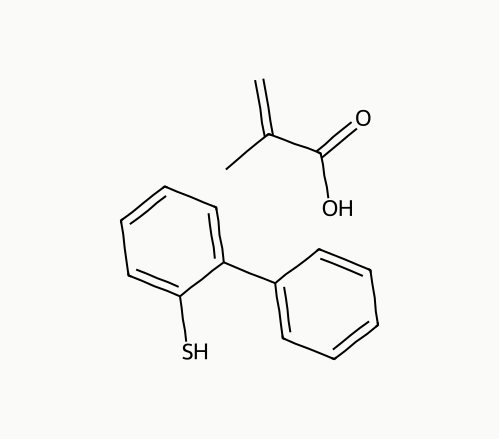 C=C(C)C(=O)O.Sc1ccccc1-c1ccccc1